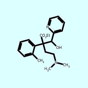 CCOC(=O)C(CCN(C)C)(c1ccccc1C)C(O)c1ccccn1